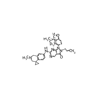 C=CCn1c(=O)c2cnc(Nc3ccc4c(c3)CN(C)CC43CC3)nc2n1-c1ccc(=O)n(C(C)(C)C)n1